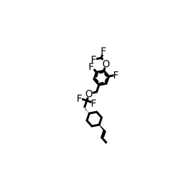 CC=C[C@H]1CC[C@H](CC(F)(F)OCc2cc(F)c(OC(F)F)c(F)c2)CC1